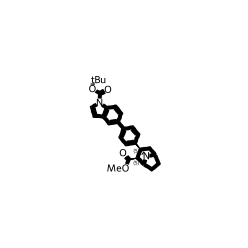 COC(=O)[C@@H]1C2CCC(C[C@@H]1c1ccc(-c3ccc4c(ccn4C(=O)OC(C)(C)C)c3)cc1)N2C